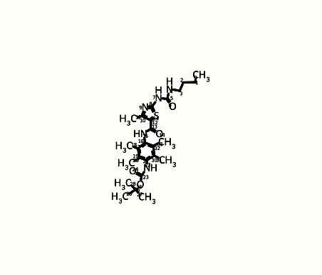 CCCCNC(=O)Nc1nc(C)c(C(=O)Nc2c(C)c(C)c(NC(=O)OC(C)(C)C)c(C)c2C)s1